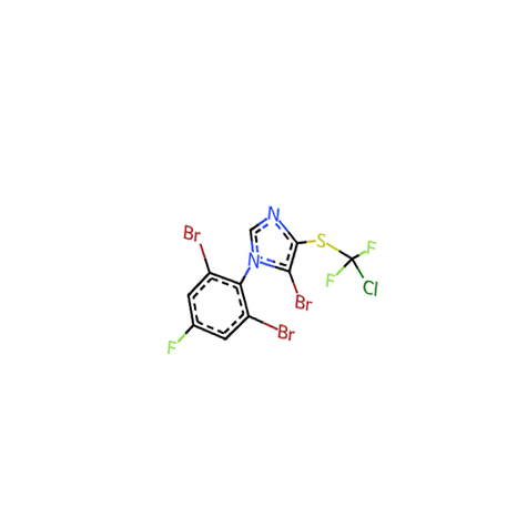 Fc1cc(Br)c(-n2cnc(SC(F)(F)Cl)c2Br)c(Br)c1